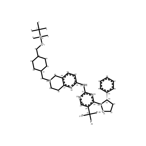 CC(C)(C)[Si](C)(C)OCC1CCC(CN2CCc3nc(Nc4ncc(C(F)(F)F)c(N5OCC[C@H]5c5ccccc5)n4)ccc3C2)CC1